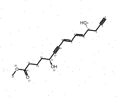 C#CC[C@@H](O)/C=C/C=C/C#C[C@@H](O)CCCC(=O)OC